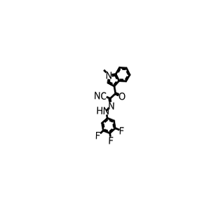 Cn1cc(C(=O)/C(C#N)=N/Nc2cc(F)c(F)c(F)c2)c2ccccc21